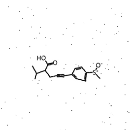 CC(C)C(CC#Cc1ccc([S+](C)[O-])cc1)C(=O)O